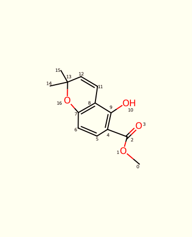 COC(=O)c1ccc2c(c1O)C=CC(C)(C)O2